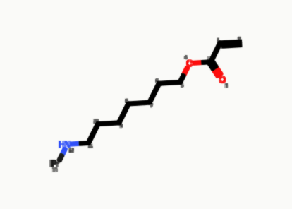 C=CC(=O)OCCCCCCCNC(C)C